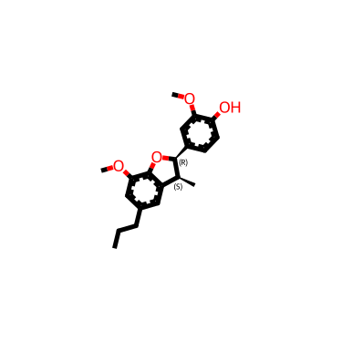 CCCc1cc(OC)c2c(c1)[C@H](C)[C@H](c1ccc(O)c(OC)c1)O2